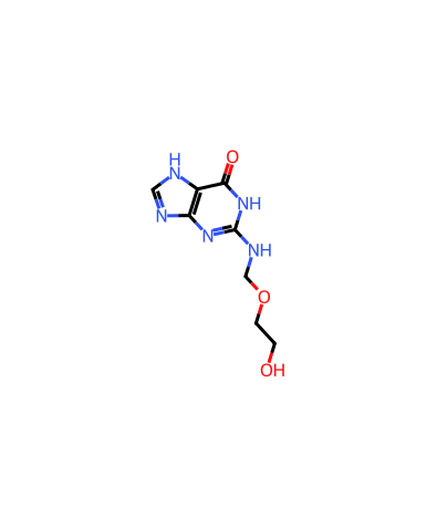 O=c1[nH]c(NCOCCO)nc2nc[nH]c12